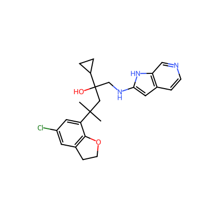 CC(C)(CC(O)(CNc1cc2ccncc2[nH]1)C1CC1)c1cc(Cl)cc2c1OCC2